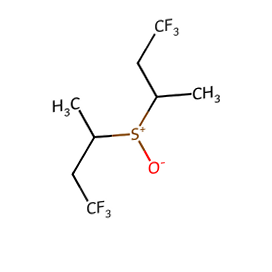 CC(CC(F)(F)F)[S+]([O-])C(C)CC(F)(F)F